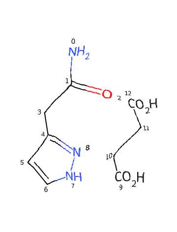 NC(=O)Cc1cc[nH]n1.O=C(O)CCC(=O)O